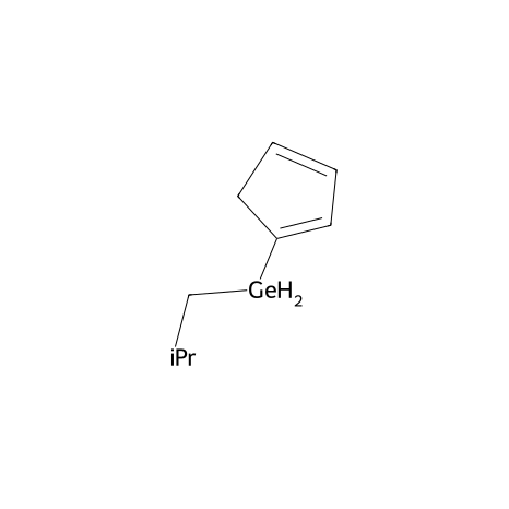 CC(C)[CH2][GeH2][C]1=CC=CC1